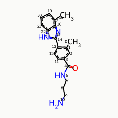 Cc1cc(C(=O)NCCCN)ccc1-c1nc2c(C)cccc2[nH]1